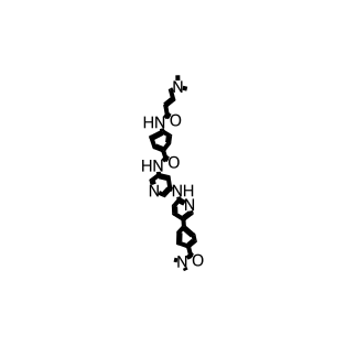 CN(C)C/C=C/C(=O)Nc1ccc(C(=O)Nc2cncc(Nc3ccc(-c4ccc(C(=O)N(C)C)cc4)cn3)c2)cc1